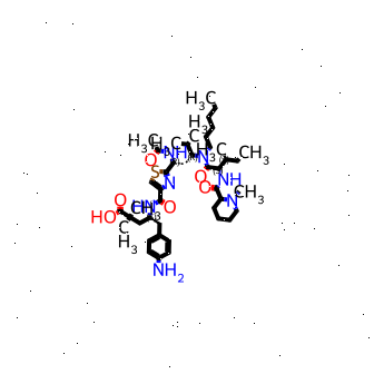 CCCCCCN(C(=O)[C@@H](NC(=O)C1CCCCN1C)[C@@H](C)CC)[C@H](C[C@@H](NC(C)=O)c1nc(C(=O)N[C@@H](Cc2ccc(N)cc2)CC(C)(C)C(=O)O)cs1)C(C)C